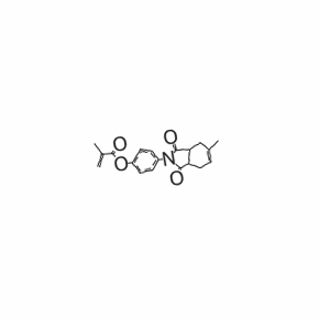 C=C(C)C(=O)Oc1ccc(N2C(=O)C3CC=C(C)CC3C2=O)cc1